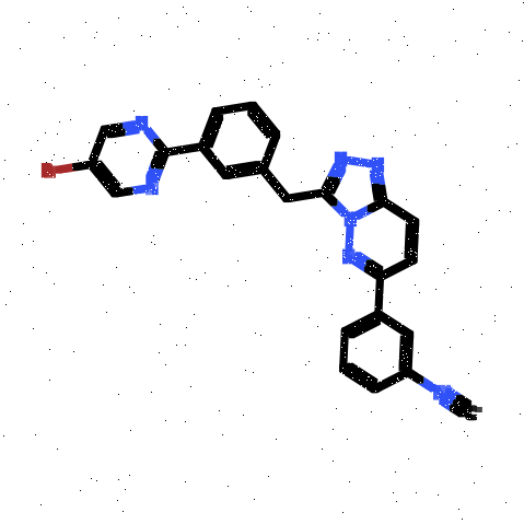 [C-]#[N+]c1cccc(-c2ccc3nnc(Cc4cccc(-c5ncc(Br)cn5)c4)n3n2)c1